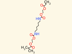 C=CC(=O)OCCOC(=O)NCCCCCCNC(=O)OCCOC(=O)C(=C)C